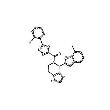 Cc1cccc2cc(C3c4nc[nH]c4CCN3C(=O)c3nnc(-c4ncccc4F)o3)nn12